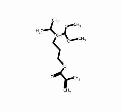 C=C(C)C(=O)OCCC[SiH](C(C)C)C(OC)OC